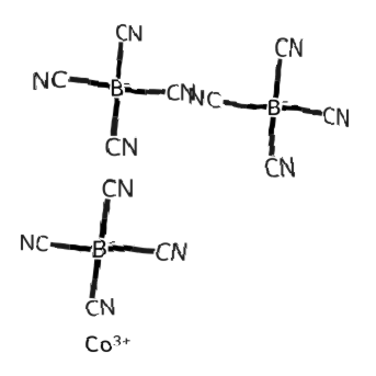 N#C[B-](C#N)(C#N)C#N.N#C[B-](C#N)(C#N)C#N.N#C[B-](C#N)(C#N)C#N.[Co+3]